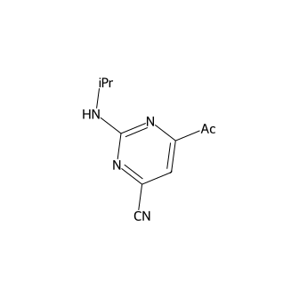 CC(=O)c1cc(C#N)nc(NC(C)C)n1